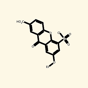 CCOc1cc(S(=O)(=O)Cl)c2oc3ccc(C(=O)O)cc3c(=O)c2c1